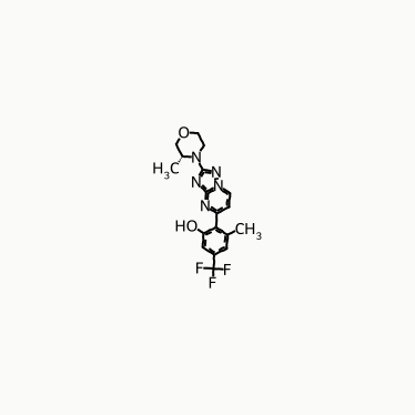 Cc1cc(C(F)(F)F)cc(O)c1-c1ccn2nc(N3CCOC[C@H]3C)nc2n1